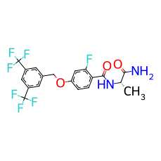 C[C@H](NC(=O)c1ccc(OCc2cc(C(F)(F)F)cc(C(F)(F)F)c2)cc1F)C(N)=O